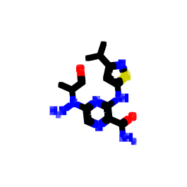 CC(C)c1cc(Nc2nc(N(N)C(C)C=O)cnc2C(N)=O)sn1